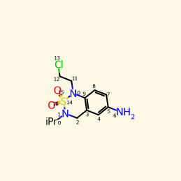 CC(C)N1Cc2cc(N)ccc2N(CCCl)S1(=O)=O